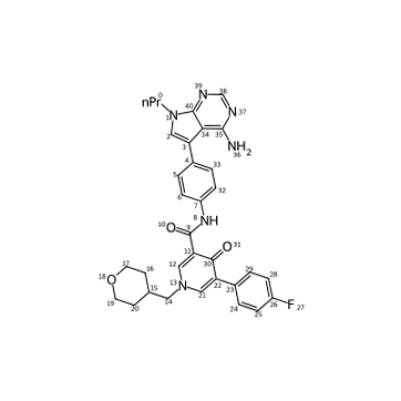 CCCn1cc(-c2ccc(NC(=O)c3cn(CC4CCOCC4)cc(-c4ccc(F)cc4)c3=O)cc2)c2c(N)ncnc21